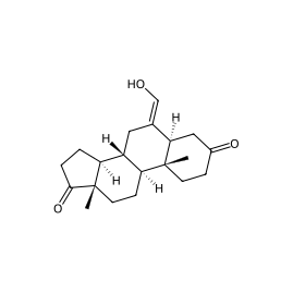 C[C@]12CCC(=O)C[C@@H]1/C(=C/O)C[C@@H]1[C@@H]2CC[C@]2(C)C(=O)CC[C@@H]12